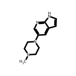 CN1CCN(c2cnc3[nH]ccc3c2)CC1